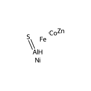 [AlH]=[S].[Co].[Fe].[Ni].[Zn]